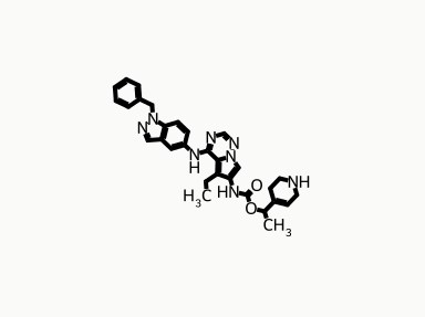 CCc1c(NC(=O)OC(C)C2=CCNCC2)cn2ncnc(Nc3ccc4c(cnn4Cc4ccccc4)c3)c12